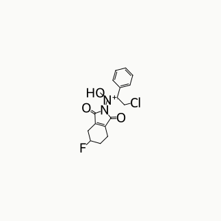 O=C1C2=C(CC(F)CC2)C(=O)N1[N+](O)=C(CCl)c1ccccc1